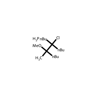 CCCCC(Cl)(CCCC)C(C)(CCCC)OC.P